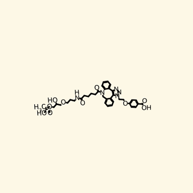 CP(=O)(O)OCC(O)COCCCNC(=O)CCCCC(=O)N1Cc2ccccc2-c2c(nnn2CCOc2ccc(C(=O)O)cc2)-c2ccccc21